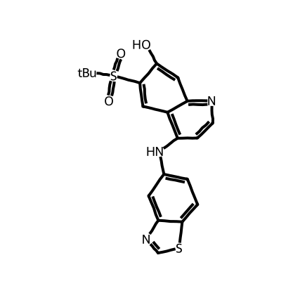 CC(C)(C)S(=O)(=O)c1cc2c(Nc3ccc4scnc4c3)ccnc2cc1O